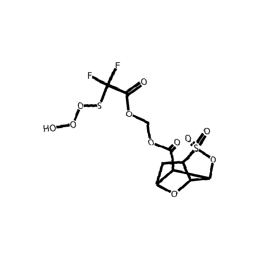 O=C(OCOC(=O)C(F)(F)SOOO)C1C2CC3C(O2)C1OS3(=O)=O